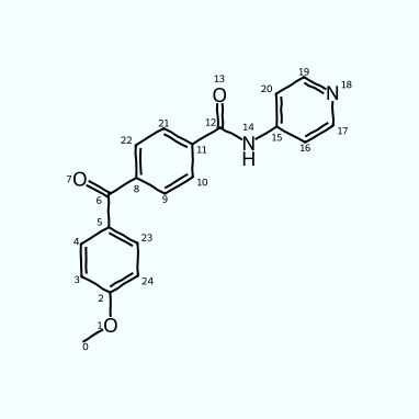 COc1ccc(C(=O)c2ccc(C(=O)Nc3ccncc3)cc2)cc1